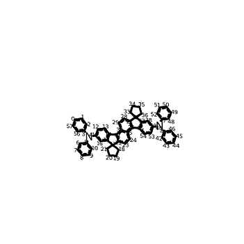 c1ccc(N(c2ccccc2)c2ccc3c(c2)C2(CCCC2)c2ccc4c5c(ccc4c2-3)C2(CCCC2)c2cc(N(c3ccccc3)c3ccccc3)ccc2-5)cc1